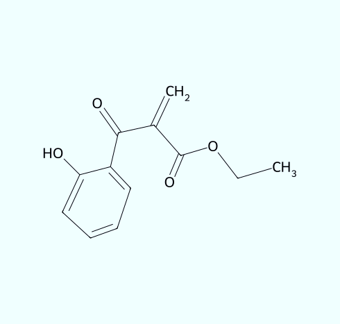 C=C(C(=O)OCC)C(=O)c1ccccc1O